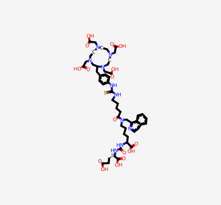 O=C(O)CC[C@H](NC(=O)NC(CCCCN(Cc1nccc2ccccc12)C(=O)CCCCNC(=S)Nc1ccc(CC2CN(CC(=O)O)CCN(CC(=O)O)CCN(CC(=O)O)CCN2CC(=O)O)cc1)C(=O)O)C(=O)O